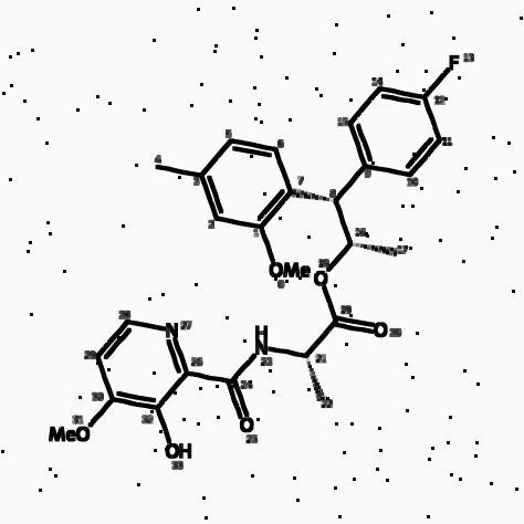 COc1cc(C)ccc1[C@H](c1ccc(F)cc1)[C@H](C)OC(=O)[C@H](C)NC(=O)c1nccc(OC)c1O